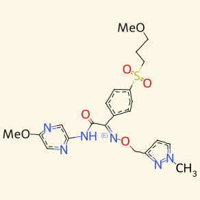 COCCCS(=O)(=O)c1ccc(/C(=N\OCc2ccn(C)n2)C(=O)Nc2cnc(OC)cn2)cc1